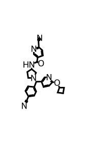 N#Cc1ccc(C(c2ccc(OC3CCC3)nc2)N2CC[C@@H](NC(=O)c3ccc(C#N)nc3)C2)cc1